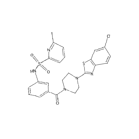 Cc1cccc(S(=O)(=O)Nc2cccc(C(=O)N3CCN(c4nc5ccc(Cl)cc5s4)CC3)c2)n1